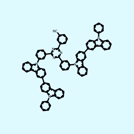 N#Cc1cccc(-c2nc(-c3cccc(-n4c5ccccc5c5cc(-c6ccc7c(c6)c6ccccc6n7-c6ccccc6)ccc54)c3)nc(-c3cccc(-n4c5ccccc5c5cc(-c6ccc7c(c6)c6ccccc6n7-c6ccccc6)ccc54)c3)n2)c1